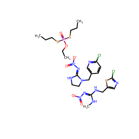 CCCSP(=O)(OCC)SCCC.CN/C(=N\[N+](=O)[O-])NCc1cnc(Cl)s1.O=[N+]([O-])/N=C1\NCCN1Cc1ccc(Cl)nc1